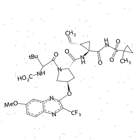 C=C[C@@H]1C[C@]1(NC(=O)[C@@H]1C[C@@H](Oc2nc3cc(OC)ccc3nc2C(F)(F)F)CN1C(=O)C(NC(=O)O)C(C)(C)C)C(=O)NS(=O)(=O)C1(C)CC1